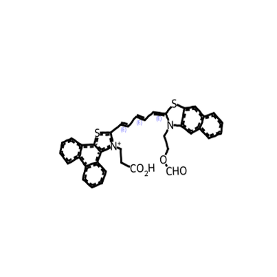 O=COCCN1\C(=C/C=C/C=C/c2sc3c4ccccc4c4ccccc4c3[n+]2CCC(=O)O)Sc2cc3ccccc3cc21